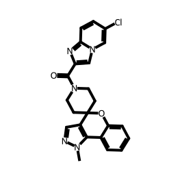 Cn1ncc2c1-c1ccccc1OC21CCN(C(=O)c2cn3cc(Cl)ccc3n2)CC1